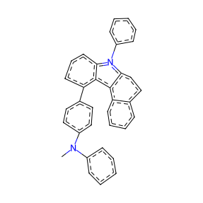 CN(c1ccccc1)c1ccc(-c2cccc3c2c2c4ccccc4ccc2n3-c2ccccc2)cc1